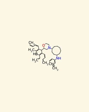 C=C/C=C\C1=C(C=C)BC(C)=C(/C=C\C=C/C)C1C1CN(C2CCCCCC(NC(/C=C\C)=C/C=C)CC2)CCO1